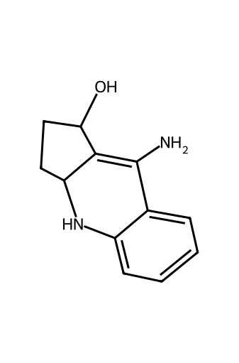 NC1=C2C(O)CCC2Nc2ccccc21